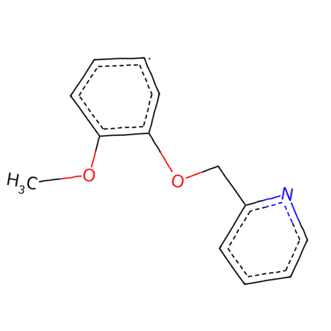 COc1cc[c]cc1OCc1ccccn1